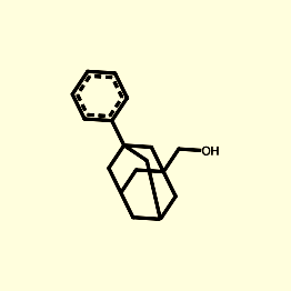 OCC12CC3CC(C1)CC(c1ccccc1)(C3)C2